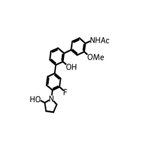 COc1cc(-c2cccc(-c3ccc(N4CCCC4O)c(F)c3)c2O)ccc1NC(C)=O